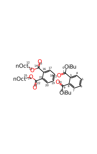 CC(C)COC(=O)c1ccccc1C(=O)OCC(C)C.CCCCCCCCOC(=O)c1ccccc1C(=O)OCCCCCCCC